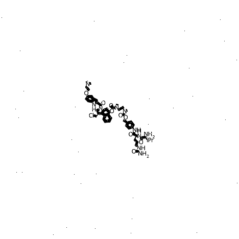 CC(C)[C@H](N)C(=O)N[C@@H](CCCNC(N)=O)C(=O)Nc1ccc(COC(=O)N(C)CCN(C)C(=O)Oc2cc3c(c4ccccc24)[C@H](CCl)CN3C(=O)c2cc3cc(OCCN(C)C)ccc3[nH]2)cc1